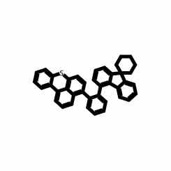 c1ccc2c(c1)Sc1ccc(-c3ccccc3-c3cccc4c3-c3ccccc3C43CCCCC3)c3cccc-2c13